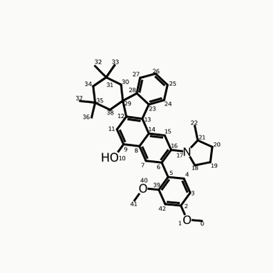 COc1ccc(-c2cc3c(O)cc4c(c3cc2N2CCCC2C)-c2ccccc2C42CC(C)(C)CC(C)(C)C2)c(OC)c1